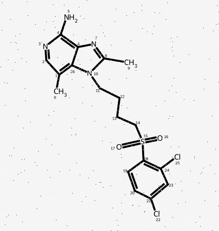 Cc1cnc(N)c2nc(C)n(CCCCS(=O)(=O)c3ccc(Cl)cc3Cl)c12